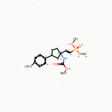 CCCCCCCCc1ccc(C2CC[C@@](/C=C/P(=O)(OCC)OCC)(NC(=O)OC(C)(C)C)C2)cc1